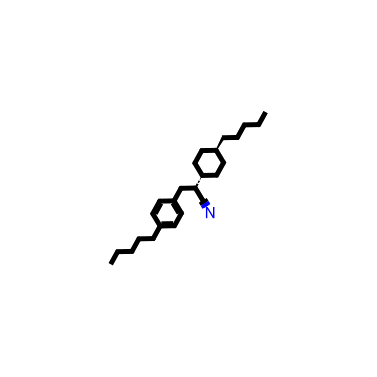 CCCCCc1ccc(CC(C#N)[C@H]2CC[C@H](CCCCC)CC2)cc1